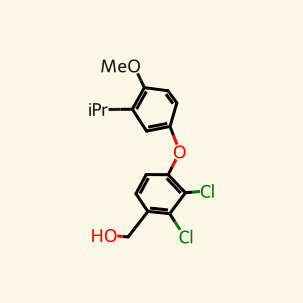 COc1ccc(Oc2ccc(CO)c(Cl)c2Cl)cc1C(C)C